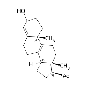 CC(=O)[C@H]1CC[C@H]2C3=C(CC[C@]12C)[C@@]1(C)CCC(O)C=C1CC3